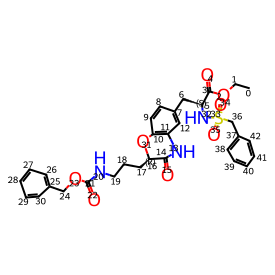 CCOC(=O)[C@H](Cc1ccc2c(c1)NC(=O)[C@@H](CCCNC(=O)OCc1ccccc1)O2)NS(=O)(=O)Cc1ccccc1